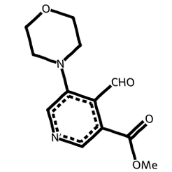 COC(=O)c1cncc(N2CCOCC2)c1C=O